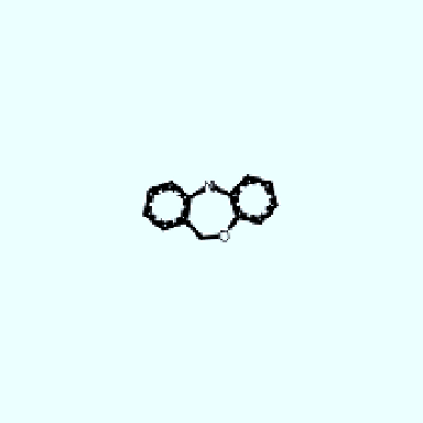 c1ccc2c(c1)COc1ccccc1[N]2